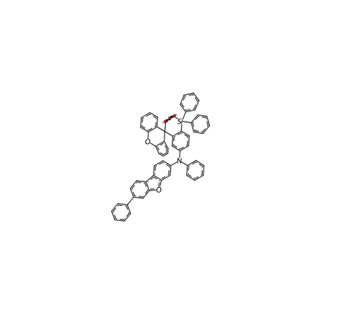 c1ccc(-c2ccc3c(c2)oc2cc(N(c4ccccc4)c4ccc5c(c4)C4(c6ccccc6Oc6ccccc64)c4ccccc4[Si]5(c4ccccc4)c4ccccc4)ccc23)cc1